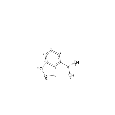 N#C[C@H](O)c1cccc2c1COO2